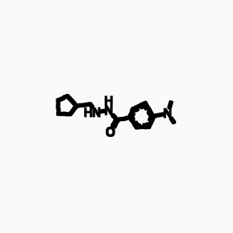 CN(C)c1ccc(C(=O)NNCC2CCCC2)cc1